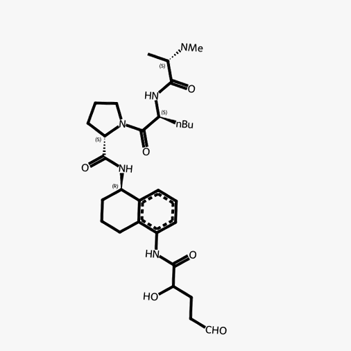 CCCC[C@H](NC(=O)[C@H](C)NC)C(=O)N1CCC[C@H]1C(=O)N[C@@H]1CCCc2c(NC(=O)C(O)CCC=O)cccc21